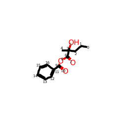 CCCC(C)(O)C(=O)OC(=O)c1ccccc1